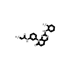 C=CC(=O)Nc1cccc(-n2c(=O)ccc3cnc(Nc4ccccc4C(F)(F)F)nc32)c1